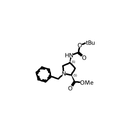 COC(=O)[C@@H]1C[C@H](NC(=O)OC(C)(C)C)CN1Cc1ccccc1